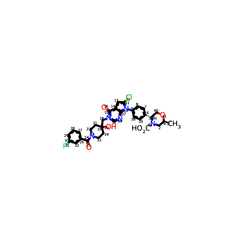 C[C@H]1CN(C(=O)O)[C@H](c2ccc(-n3c(Cl)cc4c(=O)n(CC5(O)CCN(C(=O)c6cccc(F)c6)CC5)cnc43)cc2)CO1